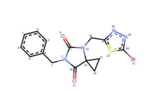 O=C1N(Cc2ccccc2)C(=O)C2(CC2)N1Cc1nnc(Br)s1